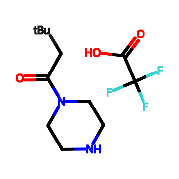 CC(C)(C)CC(=O)N1CCNCC1.O=C(O)C(F)(F)F